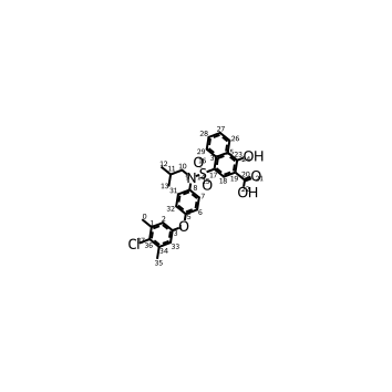 Cc1cc(Oc2ccc(N(CC(C)C)S(=O)(=O)c3cc(C(=O)O)c(O)c4ccccc34)cc2)cc(C)c1Cl